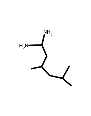 CC(C)CC(C)CC(N)N